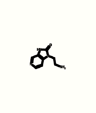 NCCn1c(=O)[nH]c2cnccc21